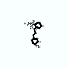 N#Cc1ccc(CCCc2ccccc2S(N)(=O)=O)cc1